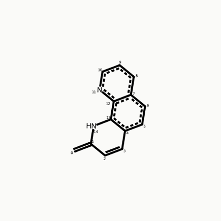 C=C1C=Cc2ccc3cccnc3c2N1